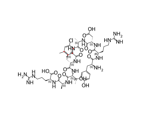 CC[C@H](C)[C@H](NC(=O)[C@H](C)NC(=O)[C@H](CC(=O)O)NC(=O)[C@@H](CCCNC(=N)N)NC(=O)[C@@H](N)Cc1ccc(O)cc1)C(=O)N[C@@H](Cc1ccc(Cl)cc1)C(=O)N[C@H](C(=O)N[C@@H](C)C(=O)N[C@@H](CCCNC(=N)N)C(=O)O)[C@@H](C)O